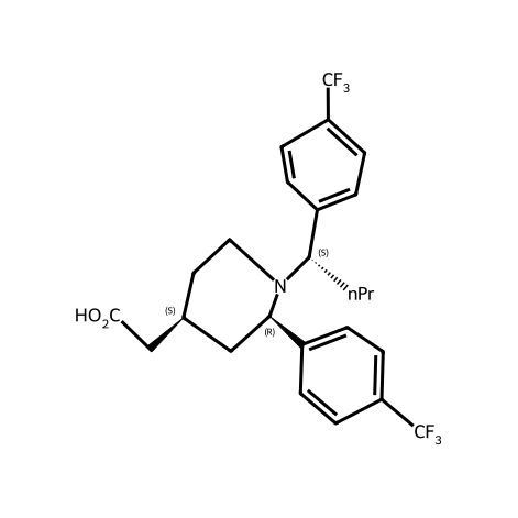 CCC[C@@H](c1ccc(C(F)(F)F)cc1)N1CC[C@H](CC(=O)O)C[C@@H]1c1ccc(C(F)(F)F)cc1